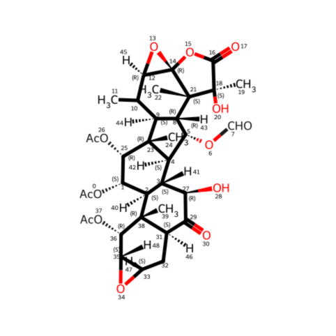 CC(=O)O[C@H]1[C@H]2[C@H]([C@@H]3[C@@H](OC=O)[C@@H]4[C@H](C(C)[C@H]5O[C@]56OC(=O)[C@@](C)(O)[C@]46C)[C@@]3(C)[C@H]1OC(C)=O)[C@@H](O)C(=O)[C@H]1C[C@@H]3O[C@@H]3[C@H](OC(C)=O)[C@]21C